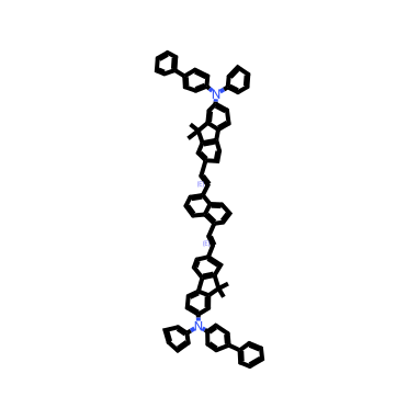 CC1(C)c2cc(/C=C/c3cccc4c(/C=C/c5ccc6c(c5)C(C)(C)c5cc(N(c7ccccc7)c7ccc(-c8ccccc8)cc7)ccc5-6)cccc34)ccc2-c2ccc(N(c3ccccc3)c3ccc(-c4ccccc4)cc3)cc21